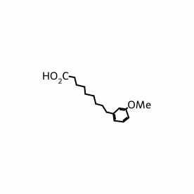 COc1cccc(CCCCCCCCC(=O)O)c1